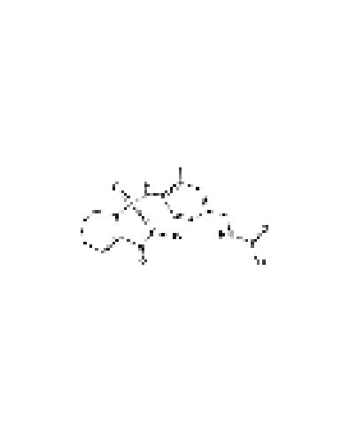 CC(C)OC(=O)C1=CCCCC1S(=O)(=O)Nc1ccc(CNC(=O)C(C)C)cc1F